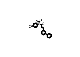 O=C(C=Cc1cccc(-c2ccccc2)c1)n1c(=O)sc2cc(Cl)ccc21